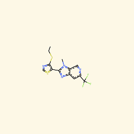 CCSc1ncsc1-c1nc2cc(C(F)(F)F)ncc2n1C